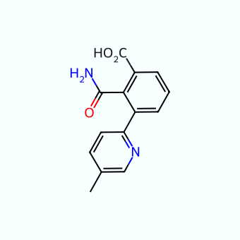 Cc1ccc(-c2cccc(C(=O)O)c2C(N)=O)nc1